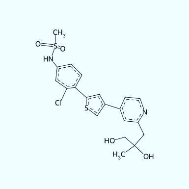 CC(O)(CO)Cc1cc(-c2csc(-c3ccc(NS(C)(=O)=O)cc3Cl)c2)ccn1